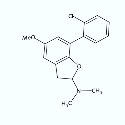 COc1cc2c(c(-c3ccccc3Cl)c1)OC(N(C)C)C2